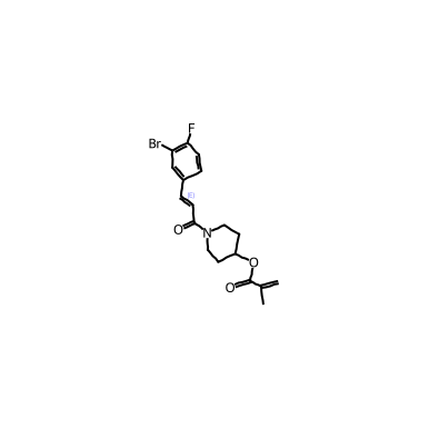 C=C(C)C(=O)OC1CCN(C(=O)/C=C/c2ccc(F)c(Br)c2)CC1